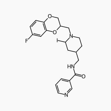 O=C(NCC1CCN(CC2COc3ccc(F)cc3O2)C(I)C1)c1cccnc1